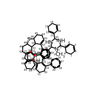 CN1C(C2=CC=CCC2)NC(C2=CCCC=C2)NC1c1cc(C2=C(c3ccccc3)CCC=C2C2=CCCC=C2)[nH]c1C1=CCCC2SC3CCC4=C(C3C12)N(c1ccccc1)[C@H]1CCCC=C41